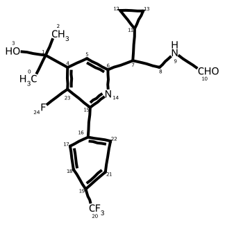 CC(C)(O)c1cc(C(CNC=O)C2CC2)nc(-c2ccc(C(F)(F)F)cc2)c1F